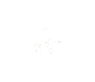 CCCCCCc1cc(OC(C)C)c(-c2ccccc2)c(OC(C)C)c1P